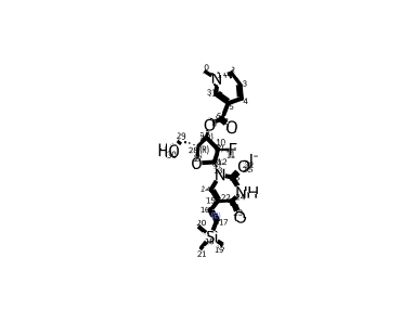 C[n+]1cccc(C(=O)O[C@H]2[C@@H](F)[C@H](n3cc(/C=C/[Si](C)(C)C)c(=O)[nH]c3=O)O[C@@H]2CO)c1.[I-]